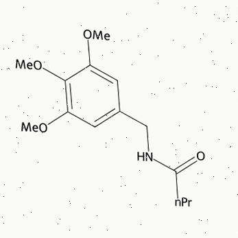 CCCC(=O)NCc1cc(OC)c(OC)c(OC)c1